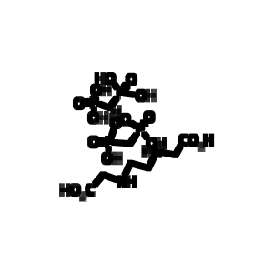 O=C(O)CNCCNCC(=O)O.O=P(O)(O)CP(=O)(O)O.O=P(O)(O)CP(=O)(O)O